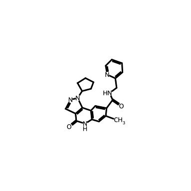 Cc1cc2[nH]c(=O)c3cnn(C4CCCC4)c3c2cc1C(=O)NCc1ccccn1